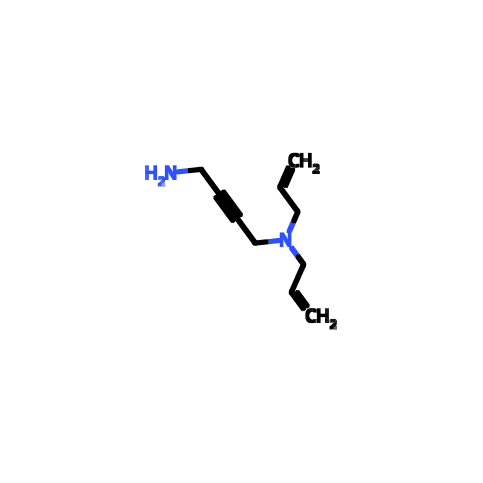 C=CCN(CC#CCN)CC=C